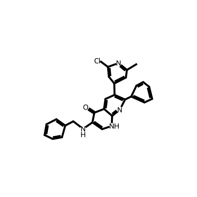 Cc1cc(-c2cc3c(=O)c(NCc4ccccc4)c[nH]c3nc2-c2ccccc2)cc(Cl)n1